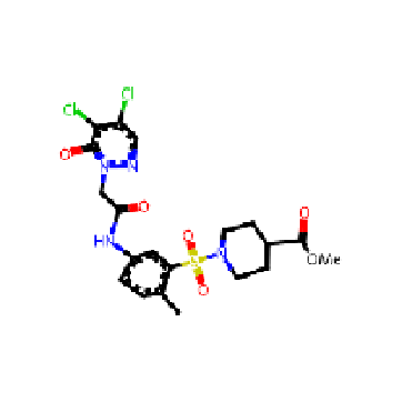 COC(=O)C1CCN(S(=O)(=O)c2cc(NC(=O)Cn3ncc(Cl)c(Cl)c3=O)ccc2C)CC1